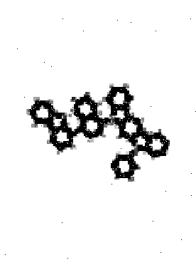 c1ccc(-n2c3ccccc3c3cc4c5ccccc5n(-c5ccc(-c6cccc7c6sc6ccccc67)c6ccccc56)c4cc32)cc1